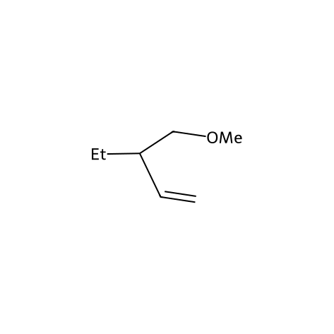 C=CC(CC)COC